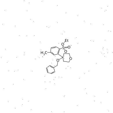 CCOS(=O)(=O)c1ccc(C)cc1C1(OCc2ccccc2)CCOCC1